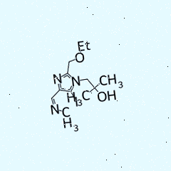 CCOCc1nc(/C=N\C)c(I)n1CC(C)(C)O